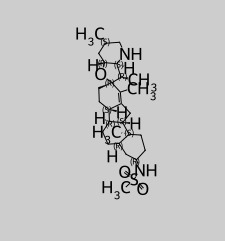 CC1=C2C[C@H]3[C@@H](CC[C@@H]4C[C@H](NS(C)(=O)=O)CC[C@@]43C)[C@@H]2CC[C@]12O[C@@H]1C[C@H](C)CN[C@H]1[C@H]2C